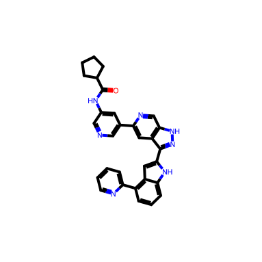 O=C(Nc1cncc(-c2cc3c(-c4cc5c(-c6ccccn6)cccc5[nH]4)n[nH]c3cn2)c1)C1CCCC1